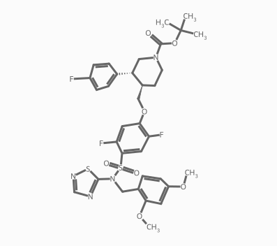 COc1ccc(CN(c2ncns2)S(=O)(=O)c2cc(F)c(OC[C@@H]3CCN(C(=O)OC(C)(C)C)C[C@H]3c3ccc(F)cc3)cc2F)c(OC)c1